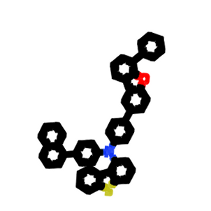 c1ccc(-c2cccc3c2oc2ccc(-c4ccc(N(c5ccc(-c6cccc7ccccc67)cc5)c5cccc6sc7ccccc7c56)cc4)cc23)cc1